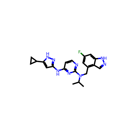 CC(C)N(Cc1cc(F)cc2[nH]ncc12)c1nccc(Nc2cc(C3CC3)[nH]n2)n1